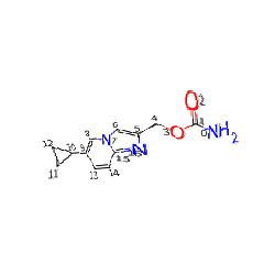 NC(=O)OCc1cn2cc(C3CC3)ccc2n1